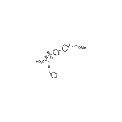 COCCOc1ccc(-c2ccc(S(=O)(=O)NC(CC#CCc3ccccc3)C(=O)O)cc2)cc1